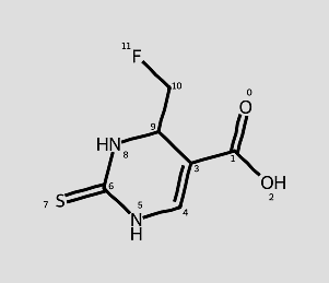 O=C(O)C1=CNC(=S)NC1CF